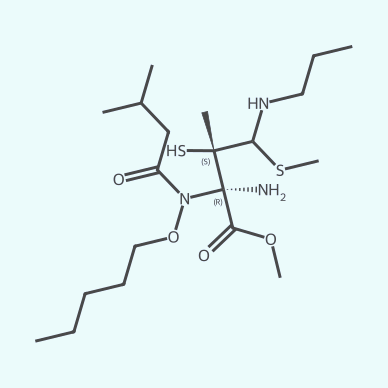 CCCCCON(C(=O)CC(C)C)[C@](N)(C(=O)OC)[C@](C)(S)C(NCCC)SC